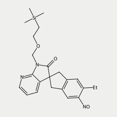 CCc1cc2c(cc1N=O)CC1(C2)C(=O)N(COCC[Si](C)(C)C)c2ncccc21